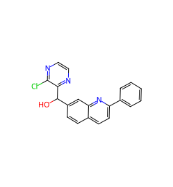 OC(c1ccc2ccc(-c3ccccc3)nc2c1)c1nccnc1Cl